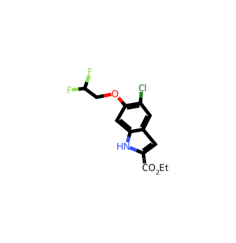 CCOC(=O)c1cc2cc(Cl)c(OCC(F)F)cc2[nH]1